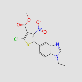 CCn1cnc2cc(-c3sc(Cl)c(C(=O)OC)c3[N+](=O)[O-])ccc21